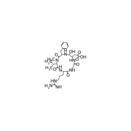 CC(C)C1C(=O)NC(CCCNC(=N)N)C(=O)NCC(=O)NC(CS(=O)(=O)O)C(O)NC(Cc2ccccc2)C(=O)N1C